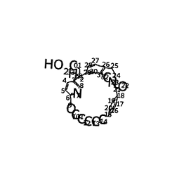 O=C(O)C[C@@H]1c2ccc(nc2)OCCCCCc2ccc(cc2)C(=O)N2CCc3ccc1cc3C2